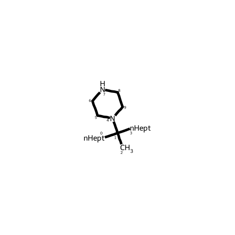 CCCCCCCC(C)(CCCCCCC)N1CCNCC1